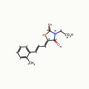 Cc1ccccc1C=CC=C1SC(=S)N(CC(=O)O)C1=O